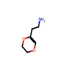 NCCC1=COCCO1